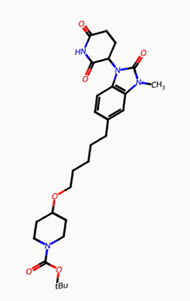 Cn1c(=O)n(C2CCC(=O)NC2=O)c2ccc(CCCCCOC3CCN(C(=O)OC(C)(C)C)CC3)cc21